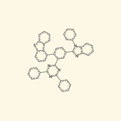 c1ccc(-c2nc(-c3ccccc3)nc(-c3cc(-c4nc5ccccc5n4-c4ccccc4)ccc3-c3cccc4sc5ccccc5c34)n2)cc1